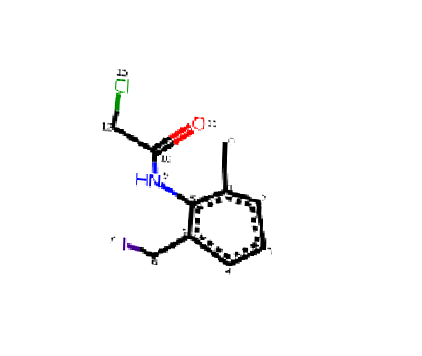 Cc1cccc(CI)c1NC(=O)CCl